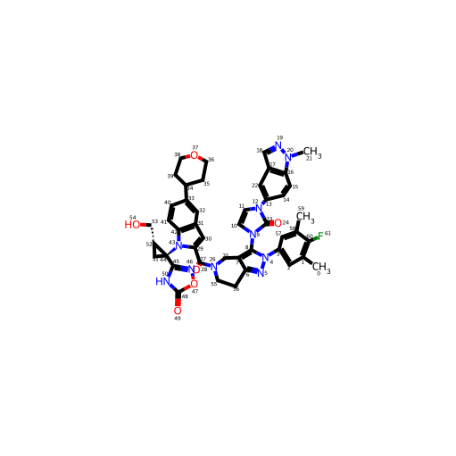 Cc1cc(-n2nc3c(c2-n2ccn(-c4ccc5c(cnn5C)c4)c2=O)CN(C(=O)c2cc4cc(C5CCOCC5)ccc4n2[C@@]2(c4noc(=O)[nH]4)C[C@@H]2CO)CC3)cc(C)c1F